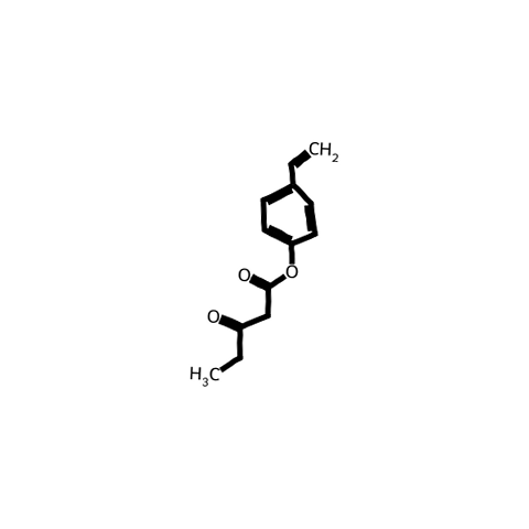 C=Cc1ccc(OC(=O)CC(=O)CC)cc1